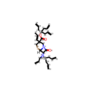 C=CCN(C1C(=O)N2CC(C=CC)(C(=O)O[Si](CC=C)(CC=C)CC=C)CS[C@H]12)[SiH](CC=C)CC=C